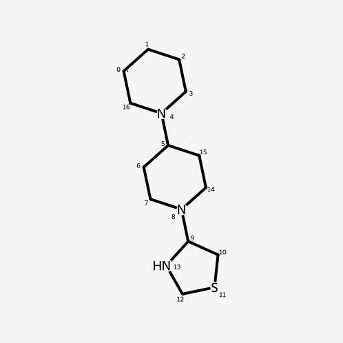 [CH]1CCCN(C2CCN(C3CSCN3)CC2)C1